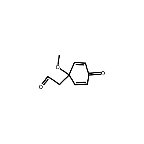 COC1(CC=O)C=CC(=O)C=C1